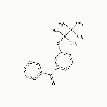 CC(C)(C)[Si](C)(C)Oc1cccc(C(=O)c2ccccc2)c1